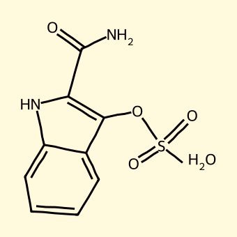 CS(=O)(=O)Oc1c(C(N)=O)[nH]c2ccccc12.O